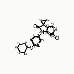 O=C1N(c2ccc(OC3CCCCC3)nc2)c2nc(Cl)ncc2C12CC2